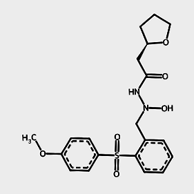 COc1ccc(S(=O)(=O)c2ccccc2CN(O)NC(=O)C[C@H]2CCCO2)cc1